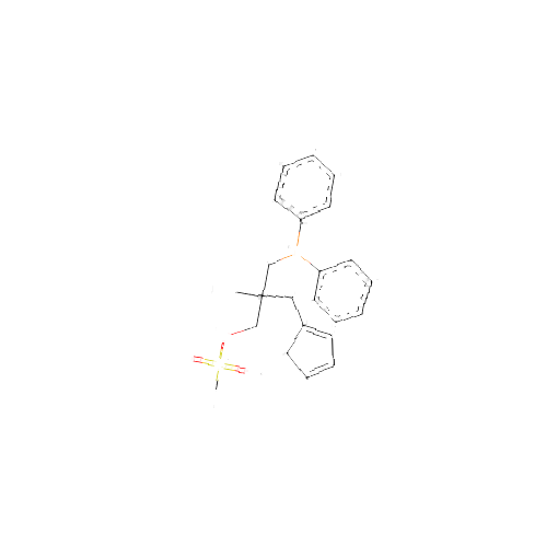 CC(COS(C)(=O)=O)(CC1=CC=CC1)CP(c1ccccc1)c1ccccc1